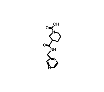 O=C(NCc1cnccn1)C1CCCN(C(=O)O)C1